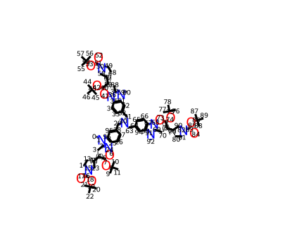 Cn1c(C[C@H](C(=O)OC(C)(C)C)[C@H]2CCN(C(=O)OC(C)(C)C)C2)nc2ccc(CN(Cc3ccc4nc(C[C@H](C(=O)OC(C)(C)C)[C@H]5CCN(C(=O)OC(C)(C)C)C5)n(C)c4c3)Cc3ccc4nc(C[C@H](C(=O)OC(C)(C)C)[C@H]5CCN(C(=O)OC(C)(C)C)C5)n(C)c4c3)cc21